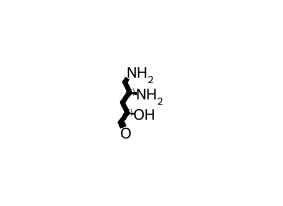 NC[C@@H](N)C[C@H](O)C=O